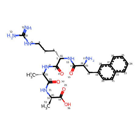 C[C@H](NC(=O)[C@H](CCCNC(=N)N)NC(=O)[C@@H](N)Cc1ccc2ccccc2c1)C(=O)N[C@H](C)C(=O)O